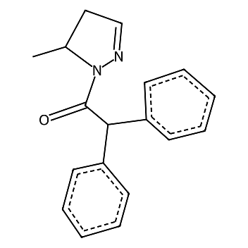 CC1CC=NN1C(=O)C(c1ccccc1)c1ccccc1